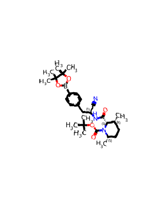 C[C@@H]1CC[C@H](C)N(C(=O)OC(C)(C)C)[C@@H]1C(=O)N[C@H](C#N)Cc1ccc(B2OC(C)(C)C(C)(C)O2)cc1